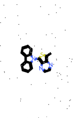 Cc1sc(-n2c3ccccc3c3ccccc32)c2nccnc12